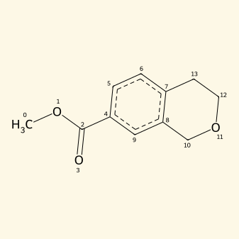 COC(=O)c1ccc2c(c1)COCC2